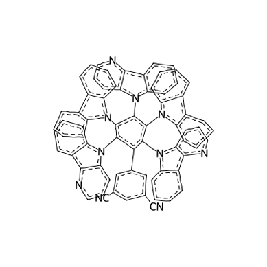 N#Cc1cc(C#N)cc(-c2c(-n3c4ccccc4c4ncccc43)c(-n3c4ccccc4c4ccccc43)c(-n3c4ccccc4c4ncccc43)c(-n3c4ccccc4c4ccccc43)c2-n2c3ccccc3c3ncccc32)c1